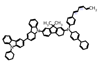 C=C/C=C\C=C\c1ccc(N(C2=CC3=C(CC2)c2ccc(N4c5ccccc5C5C=C(c6ccc7c(c6)c6ccccc6n7C6=CC=CCC6)C=CC54)cc2C3(C)C)C2C=CC(C3C=CC=CC3)=CC2)cc1